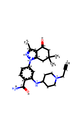 C#CCN1CCC(Nc2cc(-n3nc(C(F)(F)F)c4c3CC(C)(C)CC4=O)ccc2C(N)=O)CC1